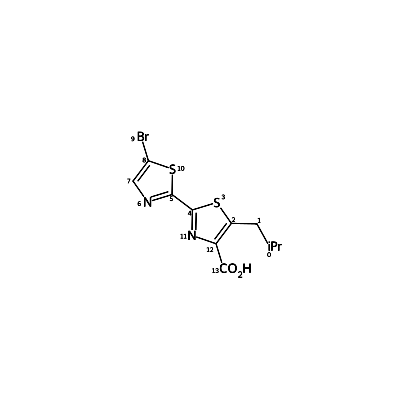 CC(C)Cc1sc(-c2ncc(Br)s2)nc1C(=O)O